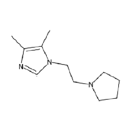 Cc1n[c]n(CCN2CCCC2)c1C